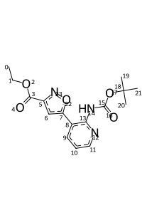 CCOC(=O)c1cc(-c2cccnc2NC(=O)OC(C)(C)C)on1